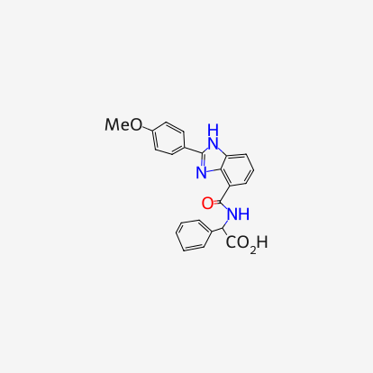 COc1ccc(-c2nc3c(C(=O)NC(C(=O)O)c4ccccc4)cccc3[nH]2)cc1